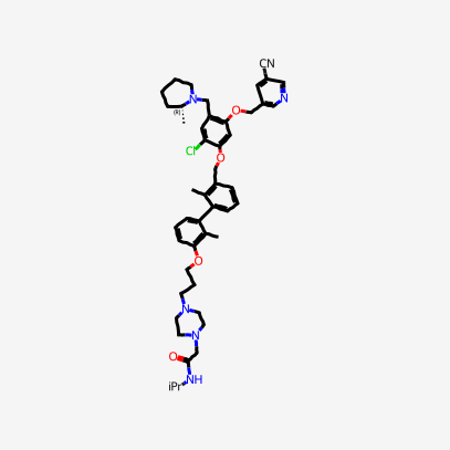 Cc1c(COc2cc(OCc3cncc(C#N)c3)c(CN3CCCC[C@H]3C)cc2Cl)cccc1-c1cccc(OCCCN2CCN(CC(=O)NC(C)C)CC2)c1C